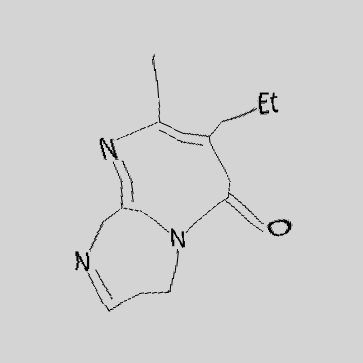 CCc1c(C)nc2n(c1=O)CC=N2